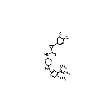 Cc1cnc(NC2CCC(NC(=O)C3CC3c3ccc(Cl)c(Cl)c3)CC2)nc1N(C)C